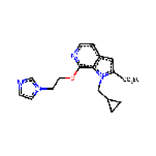 CCOC(=O)c1cc2ccnc(OCCn3ccnc3)c2n1CC1CC1